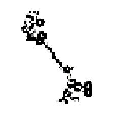 C=CC(=O)N1CCN(c2nc(OC[C@@H]3C[C@@H](OCCOCCOCCOc4ccc(-c5csc([C@@H]6CCCN6C(=O)C(NC(=O)C(C)NC)C6CCCCC6)n5)c5ccccc45)CN3C)nc3c2CCN(c2cccc4ccccc24)C3)C[C@@H]1CC#N